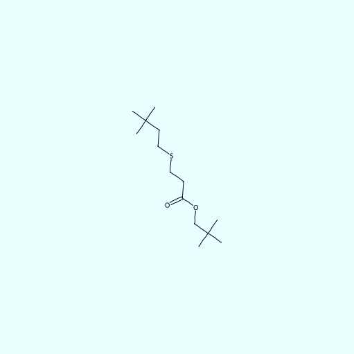 CC(C)(C)CCSCCC(=O)OCC(C)(C)C